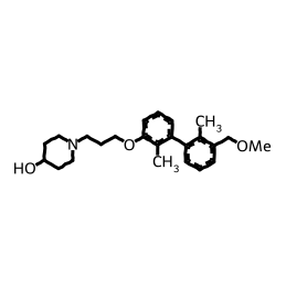 COCc1cccc(-c2cccc(OCCCN3CCC(O)CC3)c2C)c1C